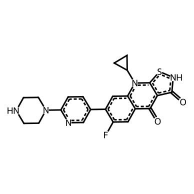 O=c1[nH]sc2c1c(=O)c1cc(F)c(-c3ccc(N4CCNCC4)nc3)cc1n2C1CC1